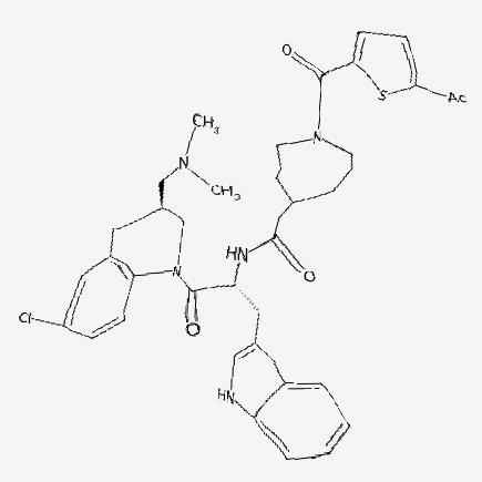 CC(=O)c1ccc(C(=O)N2CCC(C(=O)N[C@H](Cc3c[nH]c4ccccc34)C(=O)N3C[C@H](CN(C)C)Cc4cc(Cl)ccc43)CC2)s1